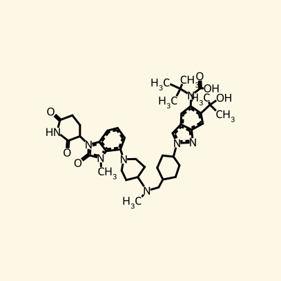 CN(CC1CCC(n2cc3cc(N(C(=O)O)C(C)(C)C)c(C(C)(C)O)cc3n2)CC1)C1CCN(c2cccc3c2n(C)c(=O)n3C2CCC(=O)NC2=O)CC1